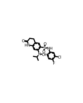 CC(C)N(O)c1cc2c(cc1S(=O)(=O)Nc1ccc(F)c(Cl)c1)CCC(=O)N2